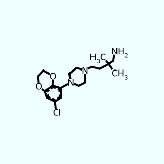 CC(C)(CN)CCN1CCN(c2cc(Cl)cc3c2OCCO3)CC1